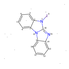 In1c2ccccc2n2c3ccccc3nc12